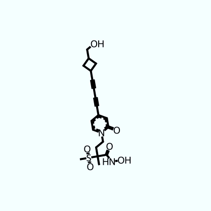 CC(CCn1ccc(C#CC#CC2CC(CO)C2)cc1=O)(C(=O)NO)S(C)(=O)=O